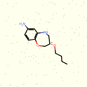 CCCCO[C@H]1CNc2cc(N)ccc2OC1